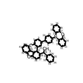 Cc1ccc(-c2ccc(N3c4ccccc4Oc4ccccc43)cc2)cc1-c1c(C(C)c2ccccc2)ccc2oc3ccccc3c12